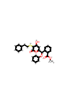 COC(=O)c1ccccc1C(Oc1ccccc1)c1cc(O)c(SCCc2ccccc2)c(=O)o1